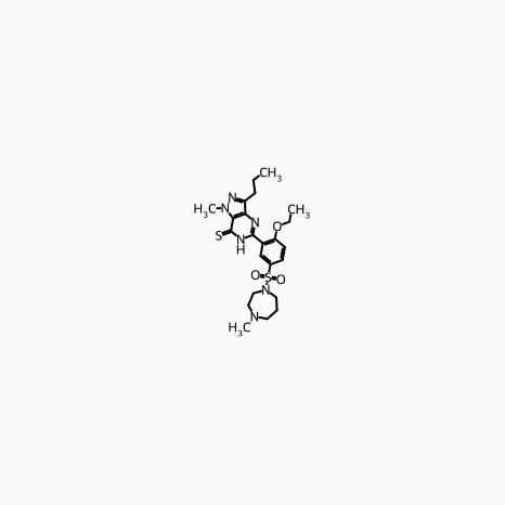 CCCc1nn(C)c2c(=S)[nH]c(-c3cc(S(=O)(=O)N4CCCN(C)CC4)ccc3OCC)nc12